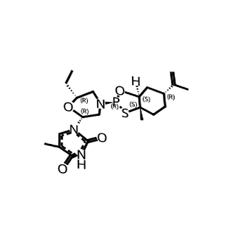 C=C(C)[C@@H]1CC[C@]2(C)S[P@@](N3C[C@@H](CC)O[C@@H](n4cc(C)c(=O)[nH]c4=O)C3)O[C@H]2C1